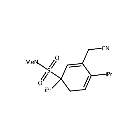 CNS(=O)(=O)C1(C(C)C)C=C(CC#N)C(C(C)C)=CC1